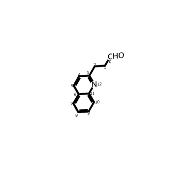 O=CCCc1ccc2ccccc2n1